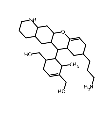 CC1C(CO)=CCC(CO)C1C1C2CC(CCCN)CC=C2OC2CC3NCCCC3CC21